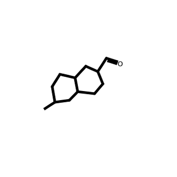 CC1CCC2CC(C=O)CCC2C1